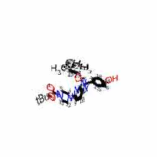 CC(C)(C)OC(=O)N1CCN(c2ccc3nc(-c4ccc(O)cc4)n(COCC[Si](C)(C)C)c3n2)CC1